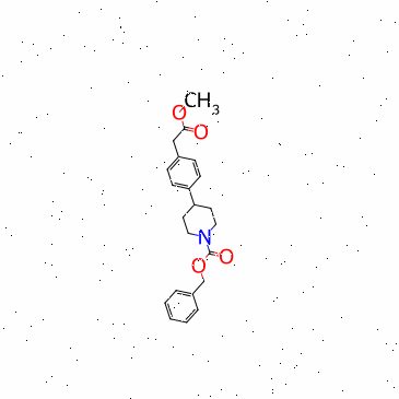 COC(=O)Cc1ccc(C2CCN(C(=O)OCc3ccccc3)CC2)cc1